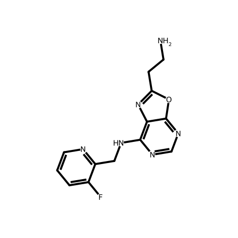 NCCc1nc2c(NCc3ncccc3F)ncnc2o1